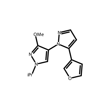 COc1nn(C(C)C)cc1-n1nccc1-c1ccoc1